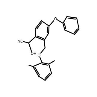 Cc1cccc(C)c1OCc1cc(Oc2ccccc2)ccc1C(O)C#N